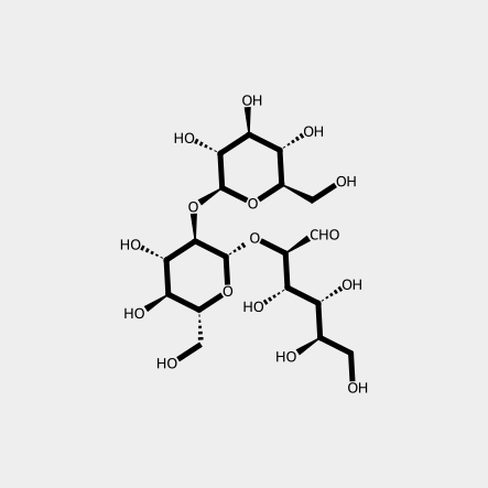 O=C[C@H](O[C@@H]1O[C@H](CO)[C@@H](O)[C@H](O)[C@H]1O[C@@H]1O[C@H](CO)[C@@H](O)[C@H](O)[C@H]1O)[C@@H](O)[C@H](O)[C@H](O)CO